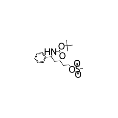 CC(C)(C)OC(=O)NC(CCCCOS(C)(=O)=O)c1ccccc1